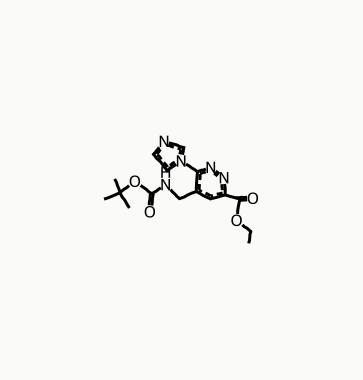 CCOC(=O)c1cc(CNC(=O)OC(C)(C)C)c(-n2ccnc2)nn1